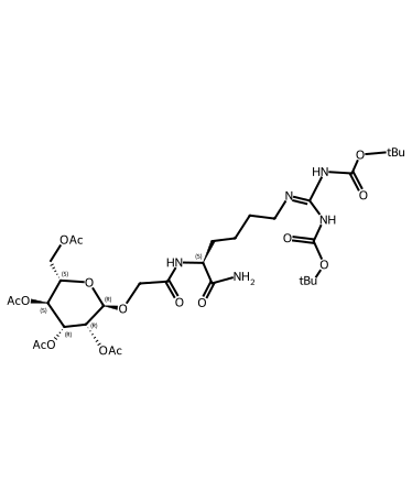 CC(=O)OC[C@@H]1O[C@@H](OCC(=O)N[C@@H](CCCCN=C(NC(=O)OC(C)(C)C)NC(=O)OC(C)(C)C)C(N)=O)[C@H](OC(C)=O)[C@H](OC(C)=O)[C@H]1OC(C)=O